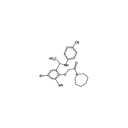 CCCc1cc(CC)cc(C(Nc2ccc(C#N)cc2)C(=O)O)c1OCC(=O)N1CCCCCC1